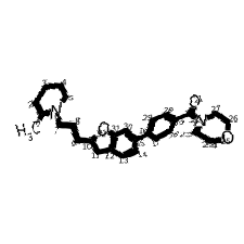 CC1CCCCN1CCCC1Cc2ccc(-c3ccc(C(=O)N4CCOCC4)cc3)cc2O1